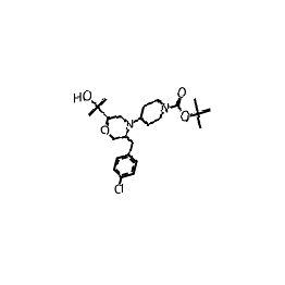 CC(C)(C)OC(=O)N1CCC(N2C[C@H](C(C)(C)O)OCC2Cc2ccc(Cl)cc2)CC1